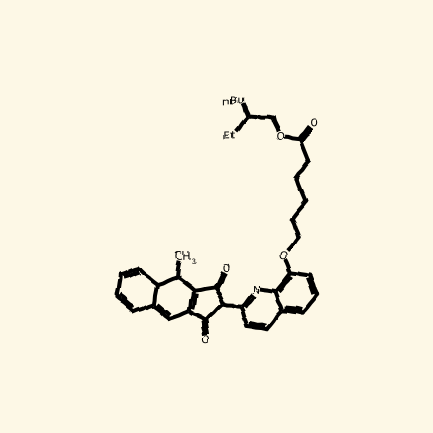 CCCCC(CC)COC(=O)CCCCCOc1cccc2ccc(C3C(=O)C4=C(C3=O)C(C)C3C=CC=CC3=C4)nc12